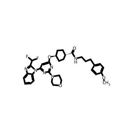 COc1ccc(CCCNC(=O)[C@H]2CC[C@H](Oc3cc(-n4c(C(F)F)nc5ccccc54)nc(N4CCOCC4)n3)CC2)cc1